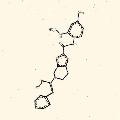 COc1ccc(NC(=O)c2nc3c(s2)CN(/C(=N/c2ccccc2)NC#N)CC3)c(NC(=O)O)c1